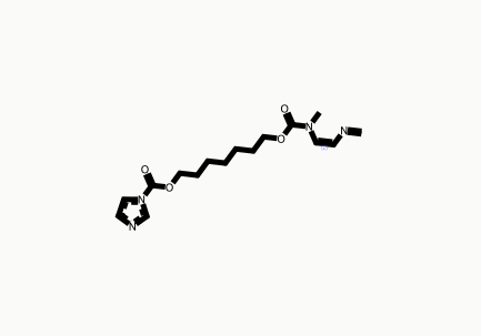 C=N/C=C\N(C)C(=O)OCCCCCCCOC(=O)n1ccnc1